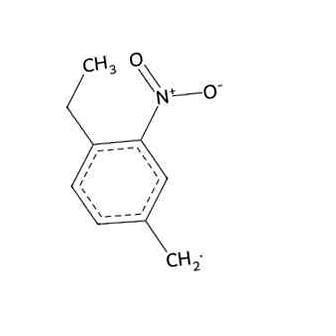 [CH2]c1ccc(CC)c([N+](=O)[O-])c1